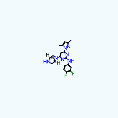 Cc1cc(C)n(-c2cc(N3C[C@H]4C[C@@H]3CN4)nc(Nc3ccc(F)c(F)c3)n2)n1